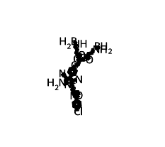 BNCCCC(=O)OC[C@@H](COc1ccc(-c2c(C#N)c(N)nc(SCc3coc(-c4ccc(Cl)cc4)n3)c2C#N)cc1)OC(=O)CCCNB